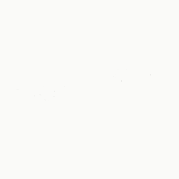 CCCc1ccc(C2CCC(C3CC=C(c4ccc(OCF)c(F)c4)CC3)CC2)cc1